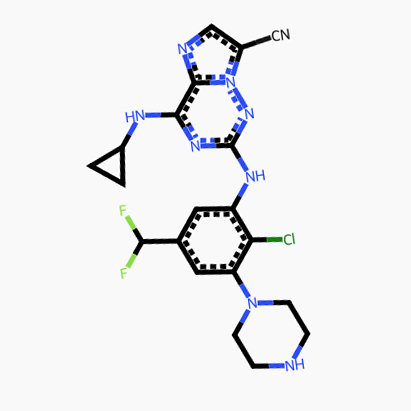 N#Cc1cnc2c(NC3CC3)nc(Nc3cc(C(F)F)cc(N4CCNCC4)c3Cl)nn12